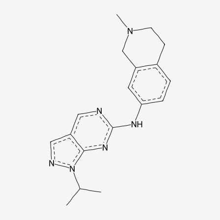 CC(C)n1ncc2cnc(Nc3ccc4c(c3)CN(C)CC4)nc21